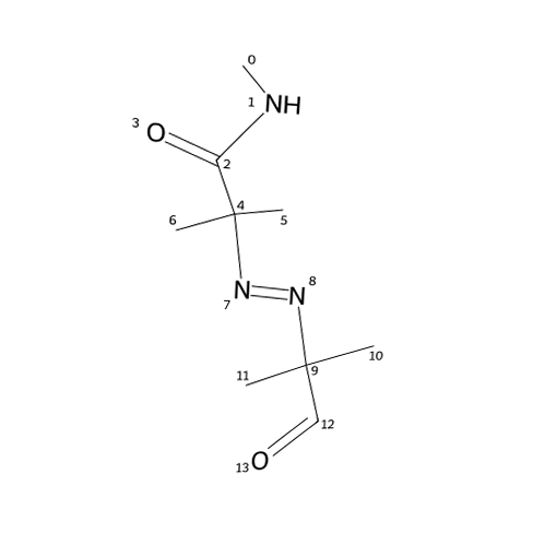 CNC(=O)C(C)(C)N=NC(C)(C)C=O